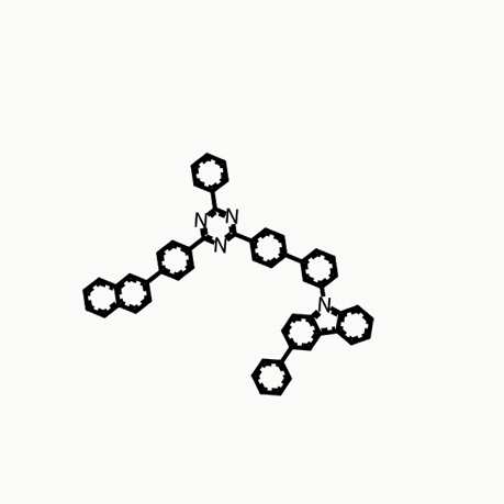 c1ccc(-c2ccc3c(c2)c2ccccc2n3-c2cccc(-c3ccc(-c4nc(-c5ccccc5)nc(-c5ccc(-c6ccc7ccccc7c6)cc5)n4)cc3)c2)cc1